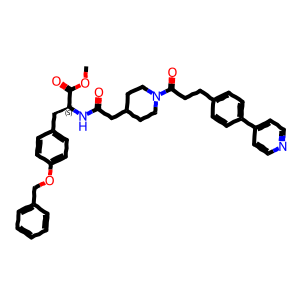 COC(=O)[C@H](Cc1ccc(OCc2ccccc2)cc1)NC(=O)CC1CCN(C(=O)CCc2ccc(-c3ccncc3)cc2)CC1